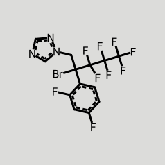 Fc1ccc(C(Br)(Cn2cncn2)C(F)(F)C(F)(F)C(F)(F)F)c(F)c1